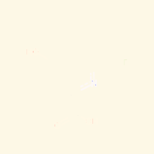 Cc1c(C(=O)O)nc2c(F)cccc2c1O